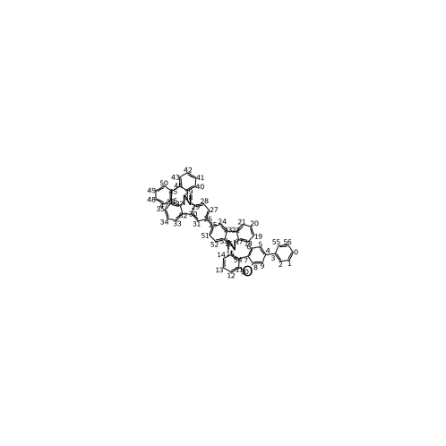 c1ccc(-c2ccc3c(c2)oc2cccc(-n4c5ccccc5c5cc(-c6ccc7c(c6)c6ccccc6n7-c6ccccc6-c6ccccc6)ccc54)c23)cc1